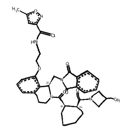 Cc1cc(C(=O)NCCOc2cccc3c2[C@@H](CN2C(=O)c4ccccc4C2=O)N(C(=O)[C@@H]2CCCC[C@@H]2C(=O)N2CC(O)C2)CC3)no1